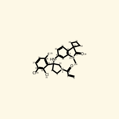 C=CC(=O)N1CC[C@](Nc2ccc3c(c2)N(C)C(=O)C32CCC2)(c2c(F)ccc(Cl)c2Cl)C1